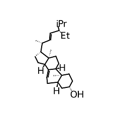 CC[C@H](/C=C/[C@@H](C)[C@H]1CC[C@H]2C3=CC[C@H]4C[C@@H](O)CC[C@]4(C)[C@H]3CC[C@]12C)C(C)C